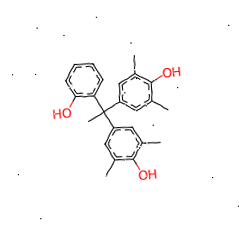 Cc1cc(C(C)(c2cc(C)c(O)c(C)c2)c2ccccc2O)cc(C)c1O